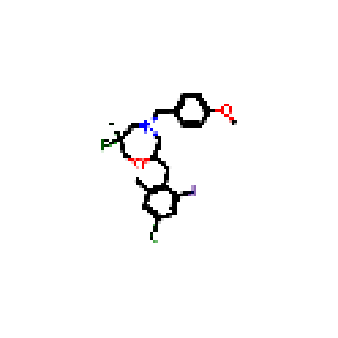 COc1ccc(CN2CC(Cc3c(C)cc(Cl)cc3I)OCC(F)(F)C2)cc1